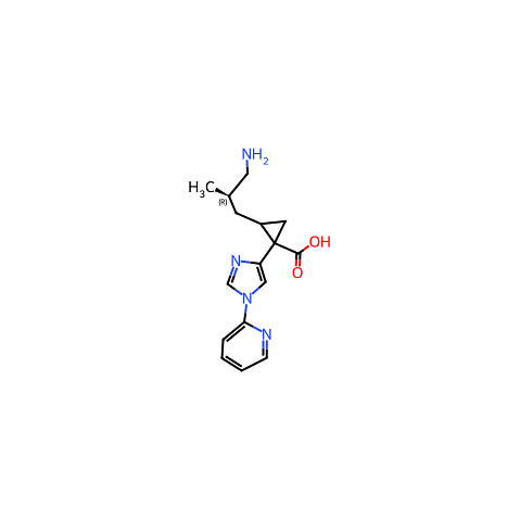 C[C@@H](CN)CC1CC1(C(=O)O)c1cn(-c2ccccn2)cn1